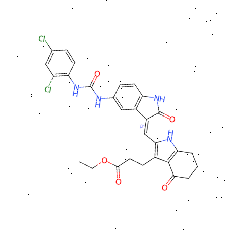 CCOC(=O)CCc1c(/C=C2\C(=O)Nc3ccc(NC(=O)Nc4ccc(Cl)cc4Cl)cc32)[nH]c2c1C(=O)CCC2